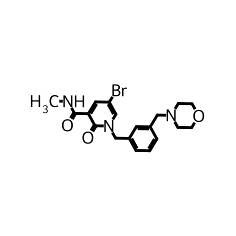 CNC(=O)c1cc(Br)cn(Cc2cccc(CN3CCOCC3)c2)c1=O